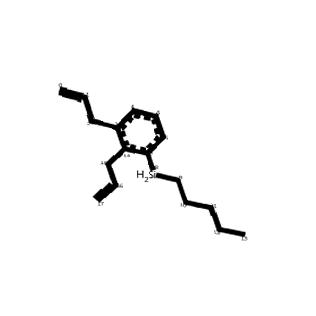 C=CCc1cccc([SiH2]CCCCC)c1CC=C